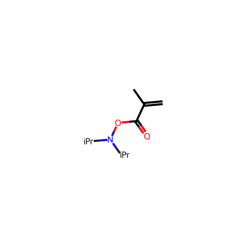 C=C(C)C(=O)ON(C(C)C)C(C)C